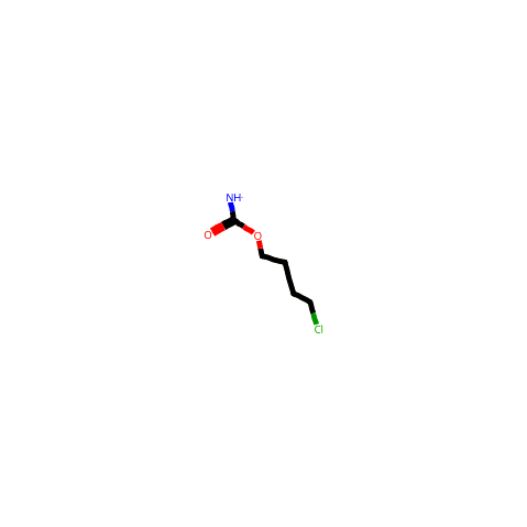 [NH]C(=O)OCCCCCl